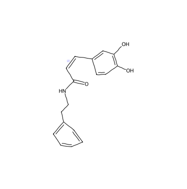 O=C(/C=C\c1ccc(O)c(O)c1)NCCc1ccccc1